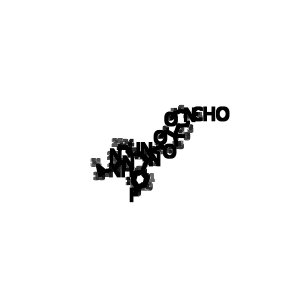 CC1(C2CN(C=O)CCO2)COC(c2nc(-c3ccc(F)cc3)c(-c3ccnc(NC4CC4)n3)[nH]2)OC1